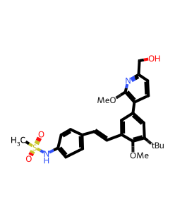 COc1nc(CO)ccc1-c1cc(C=Cc2ccc(NS(C)(=O)=O)cc2)c(OC)c(C(C)(C)C)c1